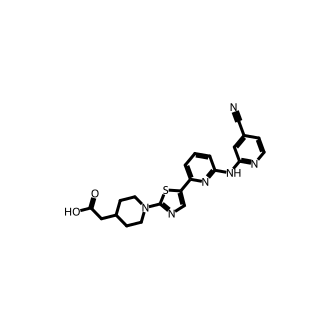 N#Cc1ccnc(Nc2cccc(-c3cnc(N4CCC(CC(=O)O)CC4)s3)n2)c1